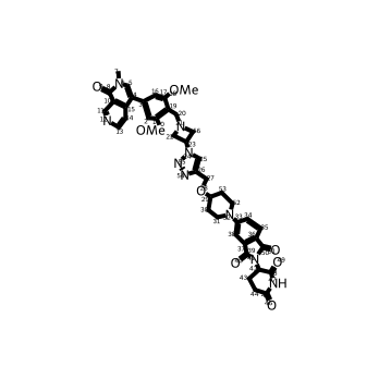 COc1cc(-c2cn(C)c(=O)c3cnccc23)cc(OC)c1CN1CC(n2cc(COC3CCN(c4ccc5c(c4)C(=O)N(C4CCC(=O)NC4=O)C5=O)CC3)nn2)C1